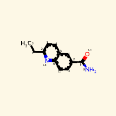 CCc1ccc2cc(C(N)=O)ccc2n1